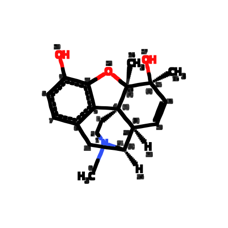 CN1CC[C@]23c4c5ccc(O)c4O[C@@]2(C)[C@@](C)(O)C=C[C@H]3[C@H]1C5